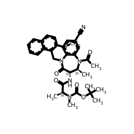 COc1ccc2ccccc2c1CN1C(=O)[C@@H](NC(=O)[C@H](C)N(C)C(=O)OC(C)(C)C)[C@H](C)N(C(C)=O)c2cc(C#N)ccc21